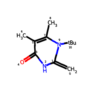 C=C1NC(=O)C(C)=C(C)N1C(C)(C)C